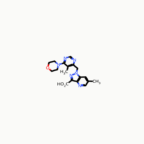 Cc1cnc2c(C(=O)O)nn(Cc3ncnc(N4CCOCC4)c3C)c2c1